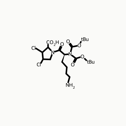 CC(C)(C)OC(=O)N(C(=O)OC(C)(C)C)[C@@H](CCCCN)C(=O)N1CC(Cl)C(Cl)C1C(=O)O